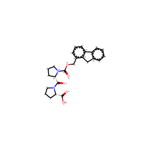 O=C(O)[C@@H]1CCCN1C(=O)[C@@H]1CCCN1C(=O)OCc1cccc2c1Cc1ccccc1-2